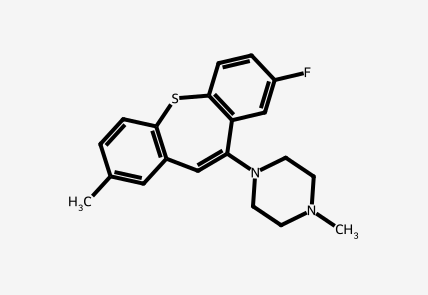 Cc1ccc2c(c1)C=C(N1CCN(C)CC1)c1cc(F)ccc1S2